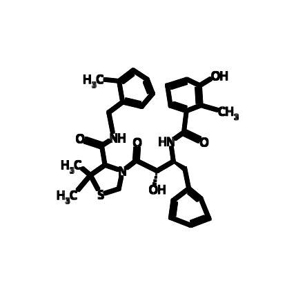 Cc1ccccc1CNC(=O)C1N(C(=O)[C@@H](O)[C@H](Cc2ccccc2)NC(=O)c2cccc(O)c2C)CSC1(C)C